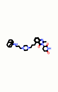 Cc1nc2cccc(CCCN3CCN(CCCNC45CC6CC(CC(C6)C4)C5)CC3)c2c(=O)n1C1CCC(=O)NC1=O